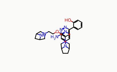 Nc1nnc(-c2ccccc2O)cc1N1CC2CCC(C1)N2c1ccnc(OCCN2CC3CC(C2)N3)c1